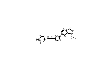 Cn1ncc2ccc(-c3cnc(C#CC4CCNCC4)s3)cc21